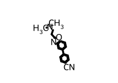 CN(C)CCc1nc2cc(-c3ccc(C#N)cc3)ccc2o1